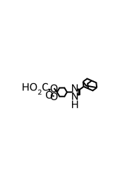 O=C(O)C1OOC2(CCC(c3nc(C4C5CC6CC(C5)CC4C6)c[nH]3)CC2)O1